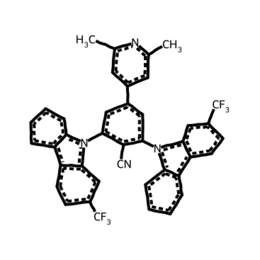 Cc1cc(-c2cc(-n3c4ccccc4c4ccc(C(F)(F)F)cc43)c(C#N)c(-n3c4ccccc4c4ccc(C(F)(F)F)cc43)c2)cc(C)n1